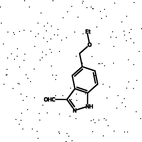 CCOCc1ccc2[nH]nc(C=O)c2c1